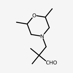 CC1CN(CC(C)(C)C=O)CC(C)O1